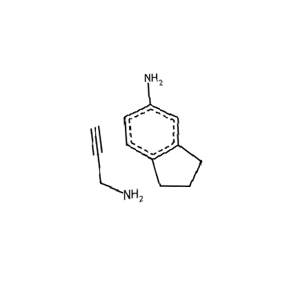 C#CCN.Nc1ccc2c(c1)CCC2